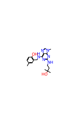 Cc1ccc(O)c(CNc2nc(NCCC(C)(C)O)nc3c2ncn3C)c1